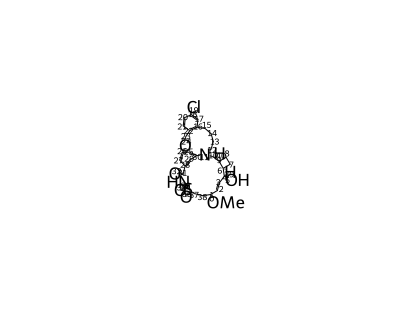 CO[C@@H]1/C=C/C(O)[C@@H]2CC[C@H]2CN2CCCCc3cc(Cl)ccc3COc3ccc(cc32)C(=O)NS(=O)(=O)CC1